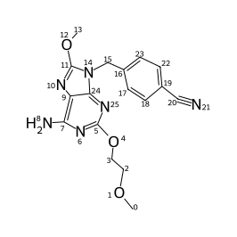 COCCOc1nc(N)c2nc(OC)n(Cc3ccc(C#N)cc3)c2n1